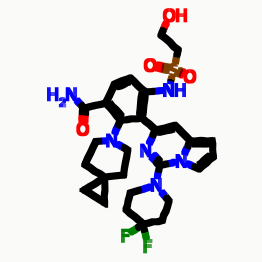 NC(=O)c1ccc(NS(=O)(=O)CCO)c(-c2cc3cccn3c(N3CCC(F)(F)CC3)n2)c1N1CCC2(CC1)CC2